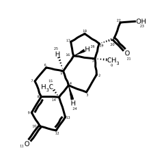 C[C@]12CC[C@H]3[C@@H](CCC4=CC(=O)C=C[C@@]43C)[C@@H]1CC[C@@H]2C(=O)CO